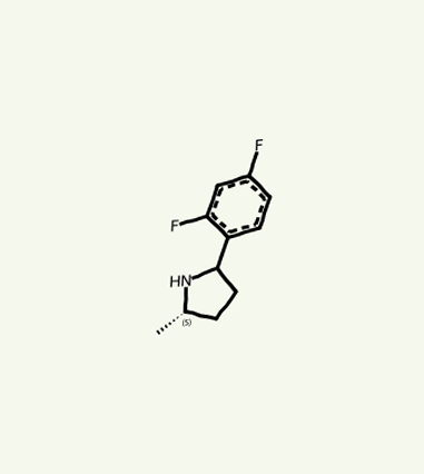 C[C@H]1CCC(c2ccc(F)cc2F)N1